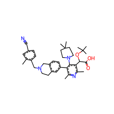 Cc1cc(C#N)ccc1CN1CCc2cc(-c3c(C)nc(C)c(C(OC(C)(C)C)C(=O)O)c3N3CCC(C)(C)CC3)ccc2C1